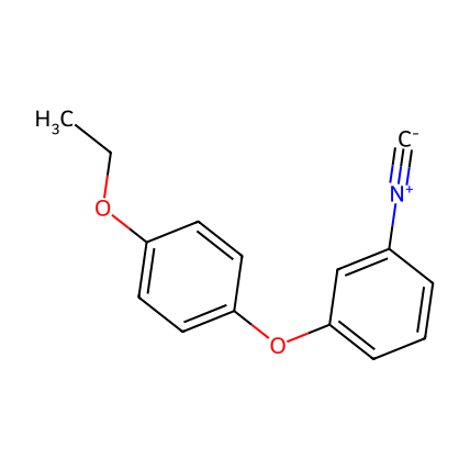 [C-]#[N+]c1cccc(Oc2ccc(OCC)cc2)c1